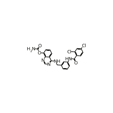 NC(=O)Oc1cccc2c(NCc3cccc(NC(=O)c4ccc(Cl)cc4Cl)c3)ncnc12